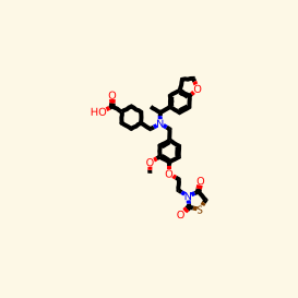 COc1cc(CN(CC2CCC(C(=O)O)CC2)C(C)c2ccc3c(c2)CCO3)ccc1OCCN1C(=O)CSC1=O